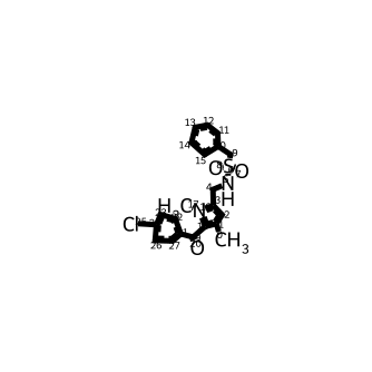 Cc1cc(CNS(=O)(=O)Cc2ccccc2)n(C)c1C(=O)c1ccc(Cl)cc1